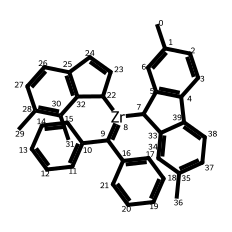 Cc1ccc2c(c1)[CH]([Zr](=[C](c1ccccc1)c1ccccc1)[CH]1C=Cc3ccc(C)c(C)c31)c1cc(C)ccc1-2